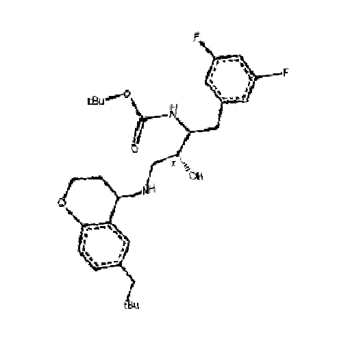 CC(C)(C)Cc1ccc2c(c1)C(NC[C@@H](O)C(Cc1cc(F)cc(F)c1)NC(=O)OC(C)(C)C)CCO2